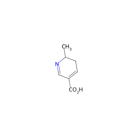 CC1CC=C(C(=O)O)C=N1